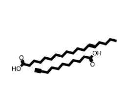 C#CCCCCCCCCC(=O)O.CCCC/C=C/CCCCCCCCCCCC(=O)O